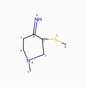 CSC1CN(C)CCC1=N